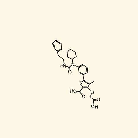 Cc1c(-c2cccc(N(C(=O)N(C)CCc3ccccc3)C3CCCCC3)c2)sc(C(=O)O)c1OCC(=O)O